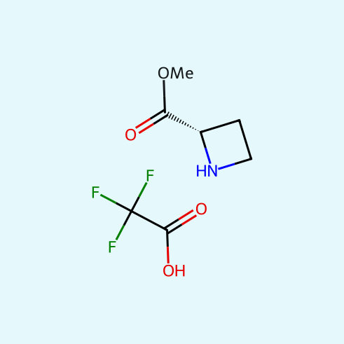 COC(=O)[C@@H]1CCN1.O=C(O)C(F)(F)F